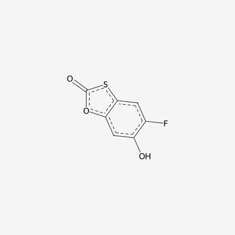 O=c1oc2cc(O)c(F)cc2s1